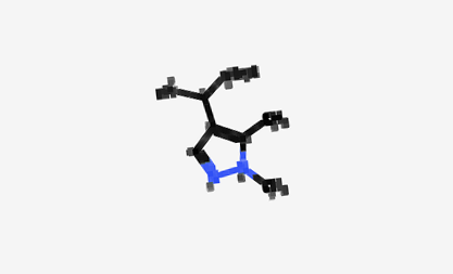 CCCCCCCC(CCC)c1cnn(C)c1C